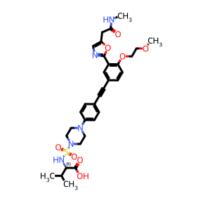 CNC(=O)Cc1cnc(-c2cc(C#Cc3ccc(N4CCN(S(=O)(=O)N[C@@H](C(=O)O)C(C)C)CC4)cc3)ccc2OCCOC)o1